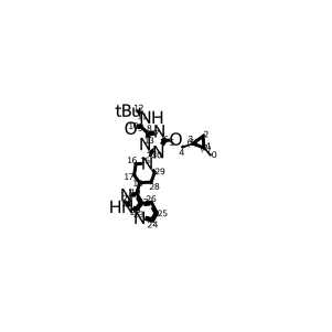 C[C@@H]1C[C@@H]1COc1nc(C(=O)NC(C)(C)C)nc(N2CCC(c3n[nH]c4ncccc34)CC2)n1